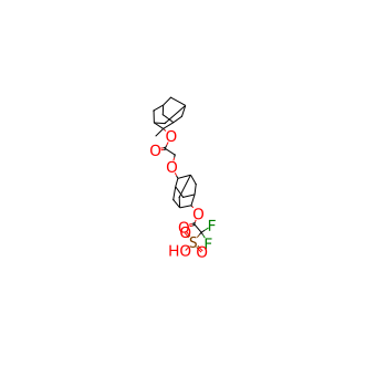 CC1(OC(=O)COC2C3CC4CC2CC(C3)C4OC(=O)C(F)(F)S(=O)(=O)O)C2CC3CC(C2)CC1C3